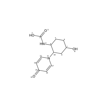 O=C(O)NC1CCC(O)CC1n1ccc(=O)cc1